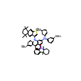 CC(C)(C)c1cccc(N(C2=CC=CC(C(C)(C)C)C2)c2cc(N(c3ccc(C(C)(C)C)cc3-c3ccccc3)c3csc4cc5c(cc34)C(C)(C)CCC5(C)C)cc(N3c4ccccc4C4(C)CCCCC34C)c2)c1